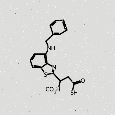 O=C(S)CC(C(=O)O)c1nc2c(NCc3ccccc3)cccc2s1